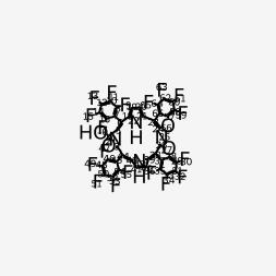 OC1Oc2nc1c(-c1c(F)c(F)c(F)c(F)c1F)c1ccc([nH]1)c1c(nc3oc4c(F)c(F)c(F)c(F)c4c3c3ccc([nH]3)c2-c2c(F)c(F)c(F)c(F)c2F)oc2c(F)c(F)c(F)c(F)c21